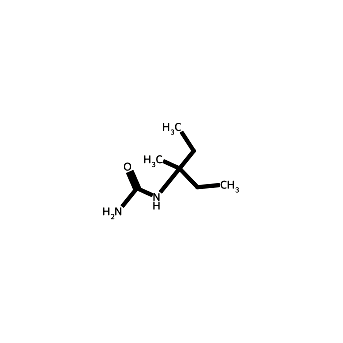 CCC(C)(CC)NC(N)=O